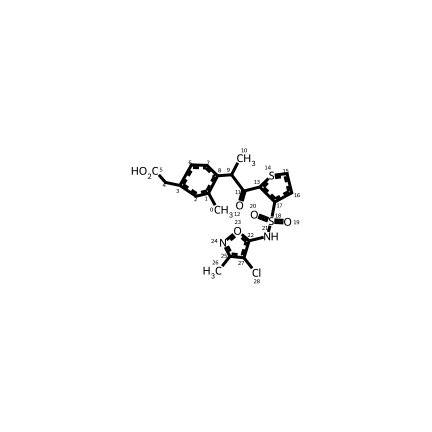 Cc1cc(CC(=O)O)ccc1C(C)C(=O)c1sccc1S(=O)(=O)Nc1onc(C)c1Cl